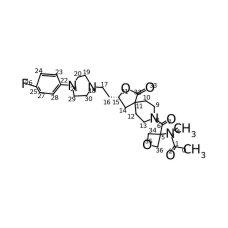 CC(=O)N(C)C1(C(=O)N2CCC3(CC2)C[C@H](CCN2CCN(c4ccc(F)cc4)CC2)OC3=O)COC1